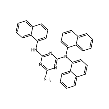 Nc1nc(Nc2cccc3ccccc23)nc(N(c2cccc3ccccc23)c2cccc3ccccc23)n1